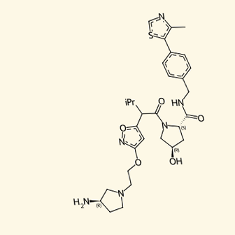 Cc1ncsc1-c1ccc(CNC(=O)[C@@H]2C[C@@H](O)CN2C(=O)C(c2cc(OCCN3CC[C@@H](N)C3)no2)C(C)C)cc1